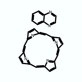 C1=CC2=NC1=CC1=NC(=CC3=NC(=CC4=NC(=C2)C=C4)C=C3)C=C1.c1ccc2nccnc2c1